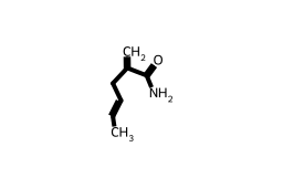 C=C(CC=CC)C(N)=O